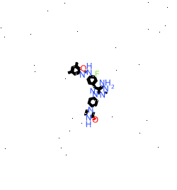 Cc1cc(C)c2oc(Nc3ccc(-c4nn([C@H]5CC[C@H](N6CCNC(=O)C6)CC5)c5ncnc(N)c45)cc3F)nc2c1